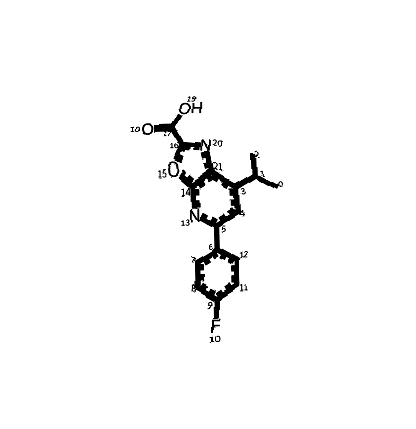 CC(C)c1cc(-c2ccc(F)cc2)nc2oc(C(=O)O)nc12